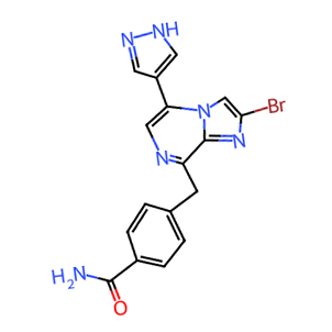 NC(=O)c1ccc(Cc2ncc(-c3cn[nH]c3)n3cc(Br)nc23)cc1